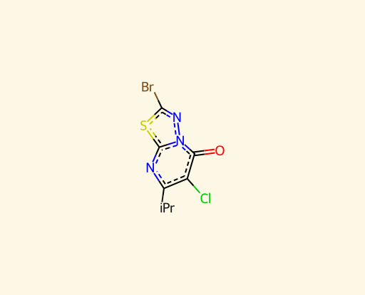 CC(C)c1nc2sc(Br)nn2c(=O)c1Cl